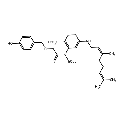 CCCCCCCCN(C(=O)COCc1ccc(O)cc1)c1cc(NCC=C(C)CCC=C(C)C)ccc1C(=O)OCC